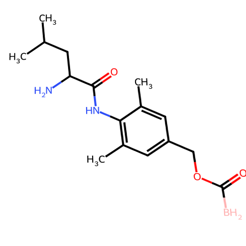 BC(=O)OCc1cc(C)c(NC(=O)C(N)CC(C)C)c(C)c1